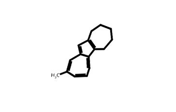 Cc1cccc2c3c(cc-2c1)CCCCC3